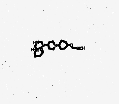 C#CCOC1CCC(N2CCC(N3CNC[C@H]4CCCC=C43)CC2)CC1